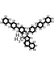 CC1(C)C(N(c2ccc(-c3ccc(-c4ccccc4)cc3)cc2)c2ccc(-c3ccc(-c4ccccc4)cc3)cc2)=Cc2c1ccc1ccccc21